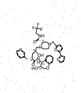 O=C(N[C@H]1c2ccccc2OC[C@H]1O)[C@H](Cc1cccnc1)C[C@H](O)CN1CCN(Cc2ccc(-c3cccs3)o2)C[C@H]1C(=O)NCC(F)(F)F